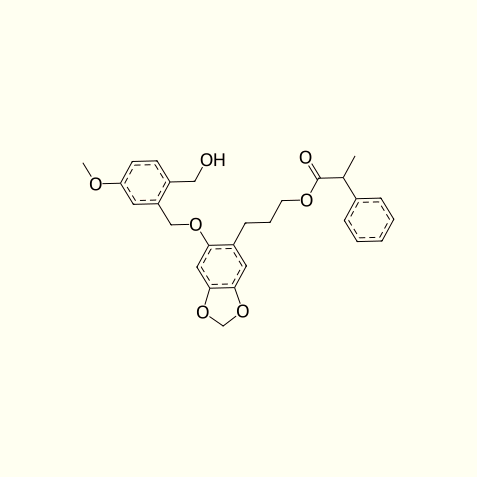 COc1ccc(CO)c(COc2cc3c(cc2CCCOC(=O)C(C)c2ccccc2)OCO3)c1